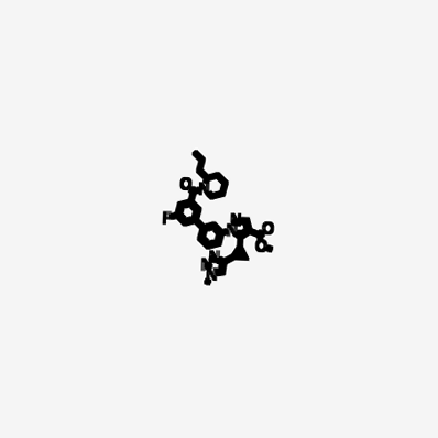 CCCC1CCCCN1C(=O)c1cc(F)cc(-c2cccc(-n3ncc(C(=O)OC)c3C3CC3c3cn(C)nn3)c2)c1